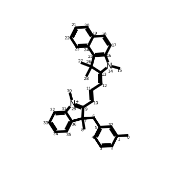 Cc1cccc(CC2(C)C(/C=C/C=C3/N(C)c4ccc5ccccc5c4C3(C)C)=[N+](C)c3ccccc32)c1